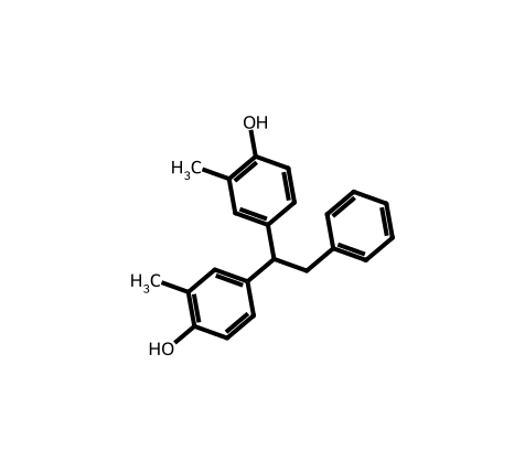 Cc1cc(C(Cc2ccccc2)c2ccc(O)c(C)c2)ccc1O